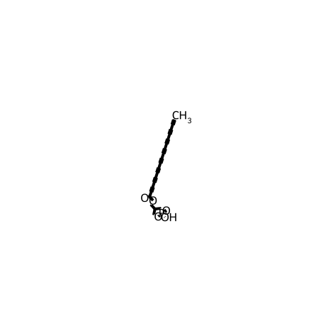 CC#CC#CC#CC#CC#CC#CC#CC#CC(=O)OCC1COP(=O)(O)C1